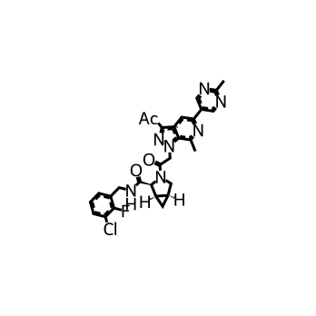 CC(=O)c1nn(CC(=O)N2C[C@H]3C[C@H]3[C@H]2C(=O)NCc2cccc(Cl)c2F)c2c(C)nc(-c3cnc(C)nc3)cc12